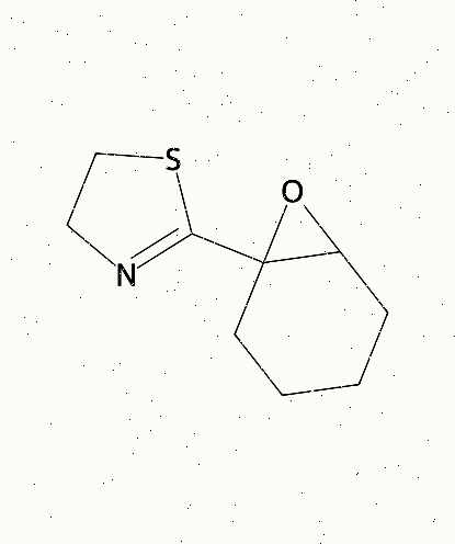 C1CCC2(C3=NCCS3)OC2C1